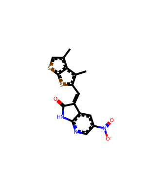 Cc1csc2sc(C=C3C(=O)Nc4ncc([N+](=O)[O-])cc43)c(C)c12